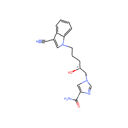 N#Cc1cn(CCC[C@H](O)Cn2cnc(C(N)=O)c2)c2ccccc12